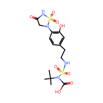 CC(C)(C)N(C(=O)O)S(=O)(=O)NCCc1ccc(N2CC(=O)NS2(=O)=O)c(O)c1